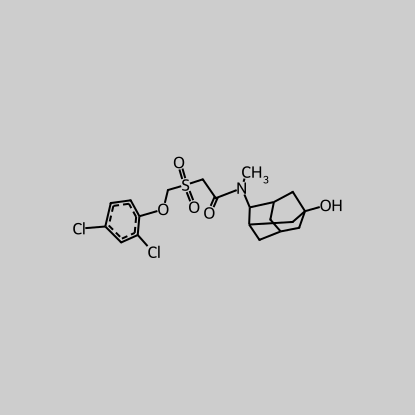 CN(C(=O)CS(=O)(=O)COc1ccc(Cl)cc1Cl)C1C2CC3CC1CC(O)(C3)C2